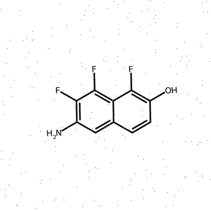 Nc1cc2ccc(O)c(F)c2c(F)c1F